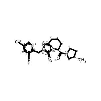 C[C@H]1CCN(C(=O)[C@@H]2CCCc3nn(Cc4ncc(Cl)cc4F)c(=O)n32)C1